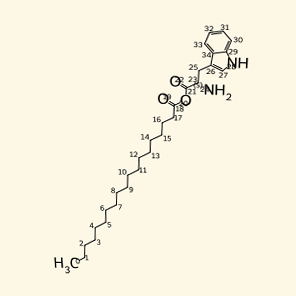 CCCCCCCCCCCCCCCCCCC(=O)OC(=O)[C@@H](N)Cc1c[nH]c2ccccc12